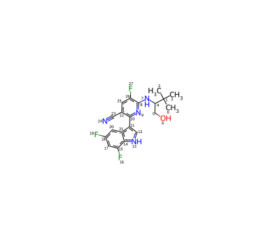 CC(C)(C)C(CO)Nc1nc(-c2c[nH]c3c(F)cc(F)cc23)c(C#N)cc1F